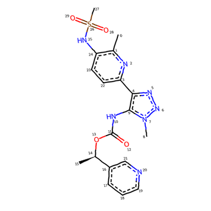 Cc1nc(-c2nnn(C)c2NC(=O)O[C@H](C)c2cccnc2)ccc1NS(C)(=O)=O